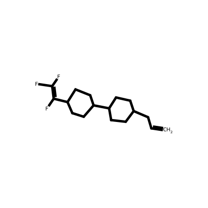 C=CCC1CCC(C2CCC(C(F)=C(F)F)CC2)CC1